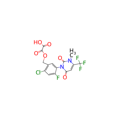 Cn1c(C(F)(F)F)cc(=O)n(-c2cc(COC(=O)C(=O)O)c(Cl)cc2F)c1=O